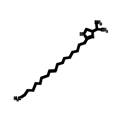 CCCCCCCCC=CCCCCCCCCC1=NC(C(C)N)CN1